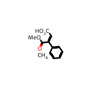 C.COC(=O)C(=CC(=O)O)c1ccccc1